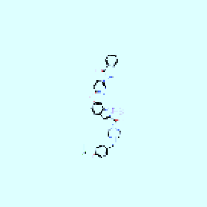 Br.CN(C(=O)c1ccc(C(F)(F)F)cc1)c1ccc(Oc2ccc3cc(C(=O)N4CCN(Cc5ccc(OC(F)F)cc5)CC4)n(C)c3c2)nc1